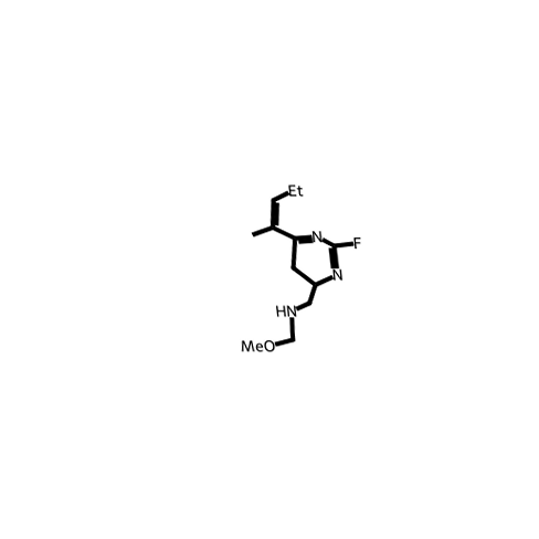 CC/C=C(/C)C1=NC(F)=NC(CNCOC)C1